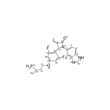 C=C1C(=O)N(c2ccc3[nH]cnc3c2)C1c1c(F)cc(OCCC(C)P)cc1F